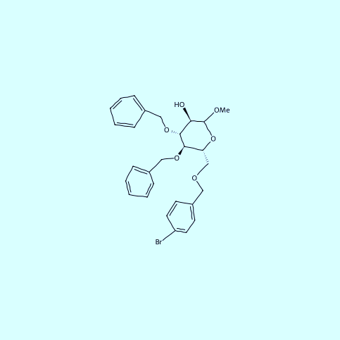 COC1O[C@H](COCc2ccc(Br)cc2)[C@@H](OCc2ccccc2)[C@H](OCc2ccccc2)[C@H]1O